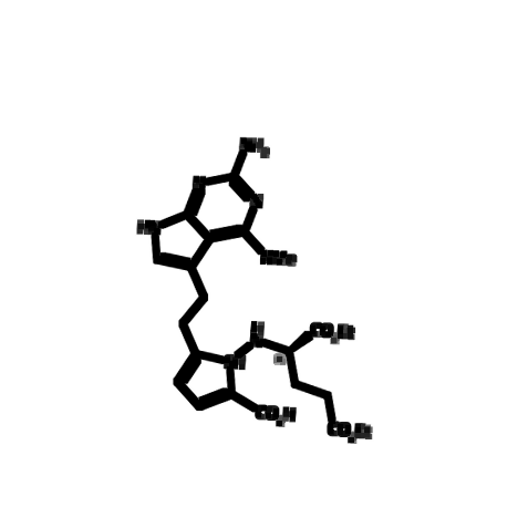 CCOC(=O)CC[C@@H](N[SH]1C(CCc2c[nH]c3nc(N)nc(NC)c23)=CC=C1C(=O)O)C(=O)OCC